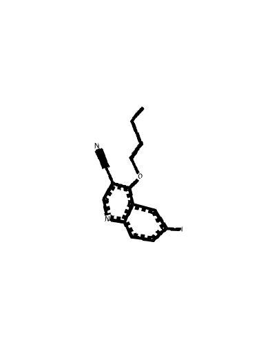 CCCCOc1c(C#N)cnc2ccc(I)cc12